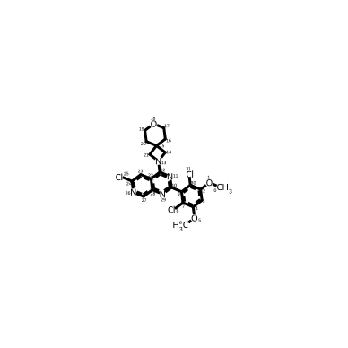 COc1cc(OC)c(Cl)c(-c2nc(N3CC4(CCOCC4)C3)c3cc(Cl)ncc3n2)c1Cl